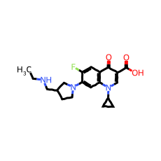 CCNCC1CCN(c2cc3c(cc2F)c(=O)c(C(=O)O)cn3C2CC2)C1